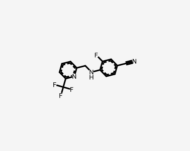 N#Cc1ccc(NCc2cccc(C(F)(F)F)n2)c(F)c1